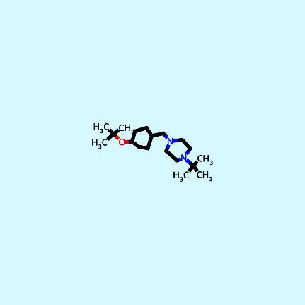 CC(C)(C)OC1CCC(CN2CCN(C(C)(C)C)CC2)CC1